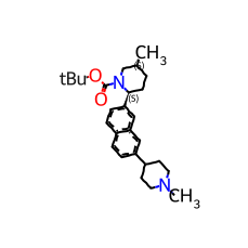 C[C@H]1CC[C@@H](c2ccc3ccc(C4CCN(C)CC4)cc3c2)N(C(=O)OC(C)(C)C)C1